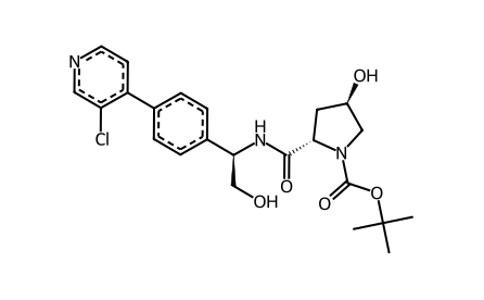 CC(C)(C)OC(=O)N1C[C@H](O)C[C@H]1C(=O)N[C@@H](CO)c1ccc(-c2ccncc2Cl)cc1